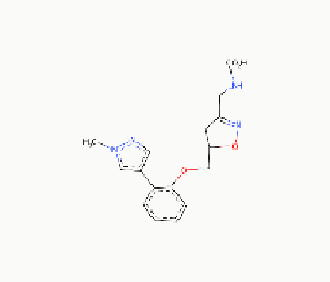 Cn1cc(-c2ccccc2OCC2CC(CNC(=O)O)=NO2)cn1